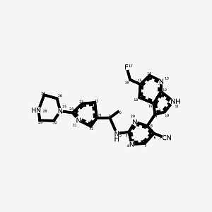 CC(Nc1ncc(C#N)c(-c2c[nH]c3ncc(CF)cc23)n1)c1ccc(N2CCNCC2)nc1